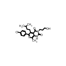 Cc1nc(-c2ccc(Cl)cc2)c(CCC(C)C)c2c(=O)n(CCCO)c(=O)[nH]c12